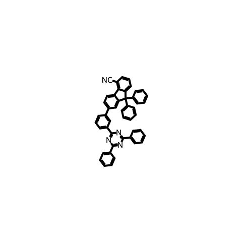 N#Cc1cccc2c1-c1ccc(-c3cccc(-c4nc(-c5ccccc5)nc(-c5ccccc5)n4)c3)cc1C2(c1ccccc1)c1ccccc1